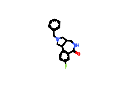 O=C1NCC2CN(Cc3ccccc3)CC2c2ccc(F)cc21